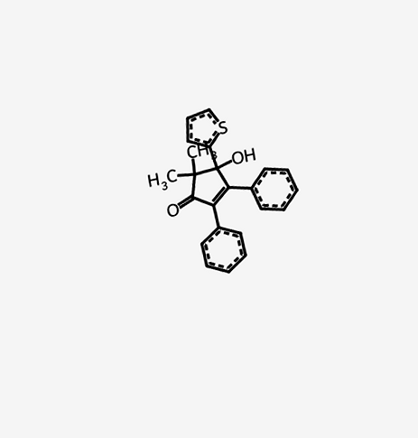 CC1(C)C(=O)C(c2ccccc2)=C(c2ccccc2)C1(O)c1cccs1